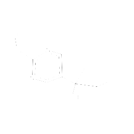 CCC(C)(C)c1cnc(OC)nc1